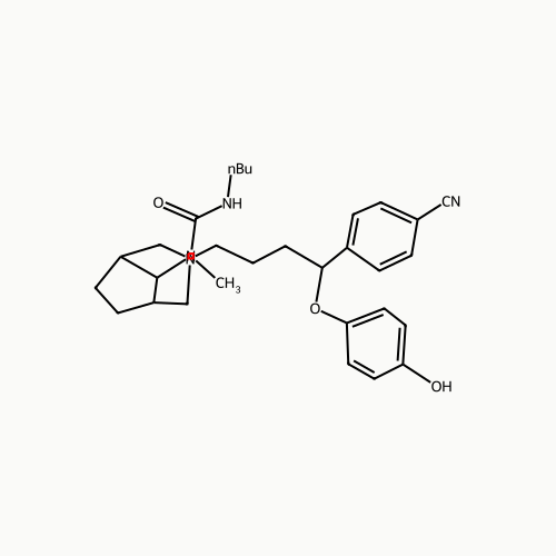 CCCCNC(=O)N(C)C1C2CCC1CN(CCCC(Oc1ccc(O)cc1)c1ccc(C#N)cc1)C2